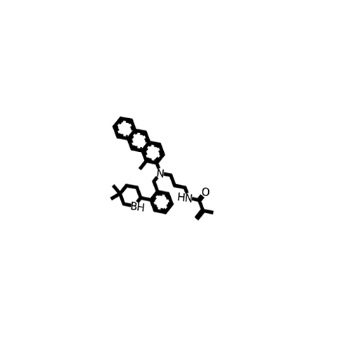 C=C(C)C(=O)NCCCN(Cc1ccccc1C1BCC(C)(C)CC1)c1ccc2cc3ccccc3cc2c1C